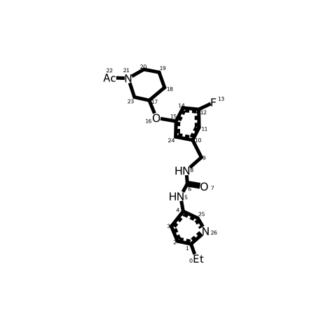 CCc1ccc(NC(=O)NCc2cc(F)cc(OC3CCCN(C(C)=O)C3)c2)cn1